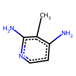 Cc1c(N)ccnc1N